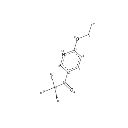 CCOc1ccc(C(=O)C(F)(F)F)cn1